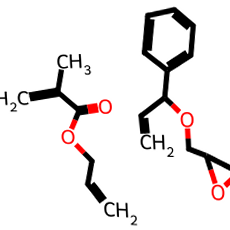 C=CC(OCC1CO1)c1ccccc1.C=CCOC(=O)C(=C)C